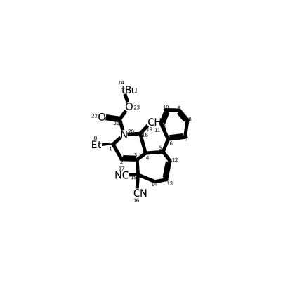 CC[C@@H]1C=C2C(C(c3ccccc3)C=CCC2(C#N)C#N)C(C)N1C(=O)OC(C)(C)C